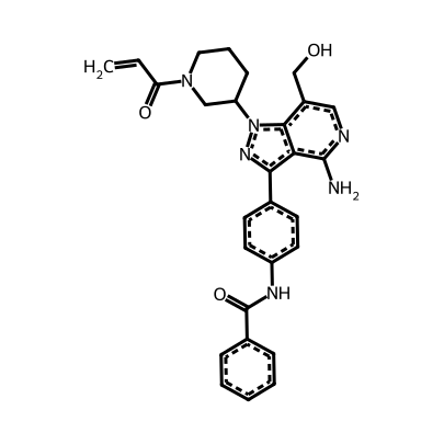 C=CC(=O)N1CCCC(n2nc(-c3ccc(NC(=O)c4ccccc4)cc3)c3c(N)ncc(CO)c32)C1